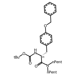 CCCCCN(CCCCC)C(=O)[C@@H](Cc1ccc(OCc2ccccc2)cc1)NC(=O)OC(C)(C)C